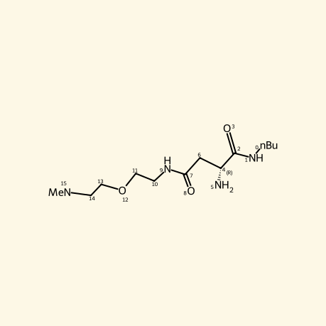 CCCCNC(=O)[C@H](N)CC(=O)NCCOCCNC